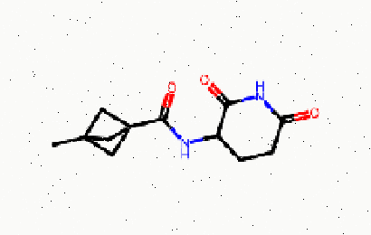 CC12CC(C(=O)NC3CCC(=O)NC3=O)(C1)C2